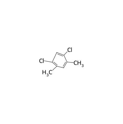 Cc1cc(C)c(Cl)cc1Cl